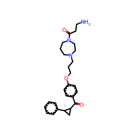 NCCC(=O)N1CCCN(CCCOc2ccc(C(=O)C3CC3c3ccccc3)cc2)CC1